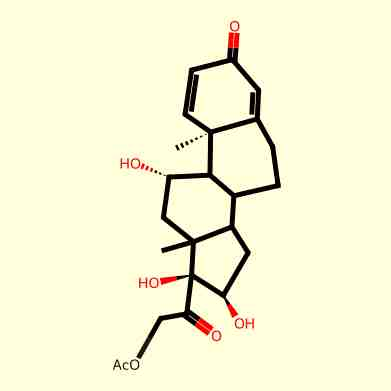 CC(=O)OCC(=O)[C@@]1(O)[C@H](O)CC2C3CCC4=CC(=O)C=C[C@]4(C)C3[C@@H](O)CC21C